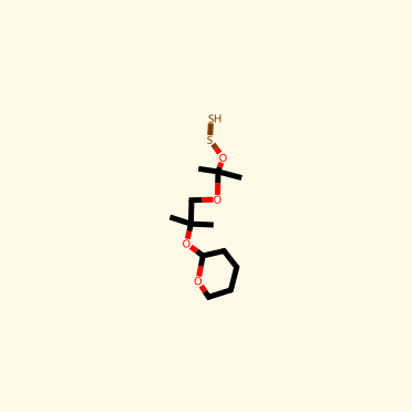 CC(C)(COC(C)(C)OSS)OC1CCCCO1